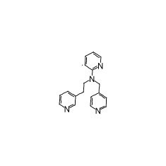 [c]1cccnc1N(CCc1cccnc1)Cc1ccncc1